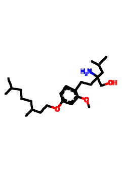 COc1cc(OCCC(C)CCCC(C)C)ccc1CCC(N)(CO)CC(C)C